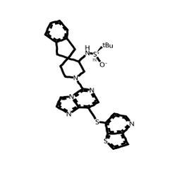 CC(C)(C)[S@@+]([O-])NC1CN(c2ncc(Sc3ccnc4ccsc34)c3nccn23)CCC12Cc1ccccc1C2